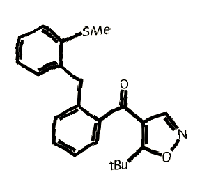 CSc1ccccc1Cc1ccccc1C(=O)c1cnoc1C(C)(C)C